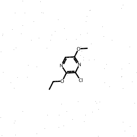 CCOc1ncc(OC)nc1Cl